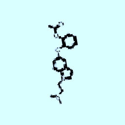 CC(=O)Oc1ccccc1Oc1ccc2c(ccn2CCN(C)C)c1